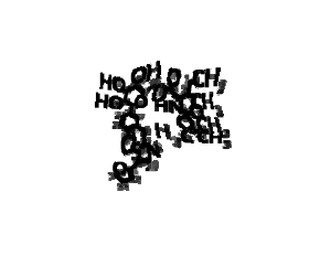 CCC(C)C(NC(=O)OC(C)(C)C)C(=O)OC[C@@H]1O[C@@H](c2ccc(Cl)c(Cc3ncc(-c4ccco4)s3)c2)[C@H](O)[C@@H](O)[C@@H]1O